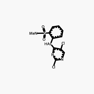 CNS(=O)(=O)c1ccccc1[AsH]c1nc(Cl)ncc1Cl